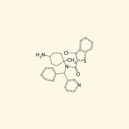 CC1(N(C(=O)c2sc3ccccc3c2Cl)C(c2ccccc2)c2cccnc2)CCC(N)CC1